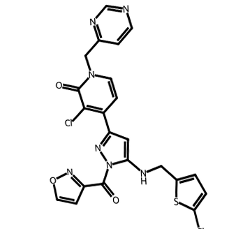 O=C(c1ccon1)n1nc(-c2ccn(Cc3ccncn3)c(=O)c2Cl)cc1NCc1ccc(Cl)s1